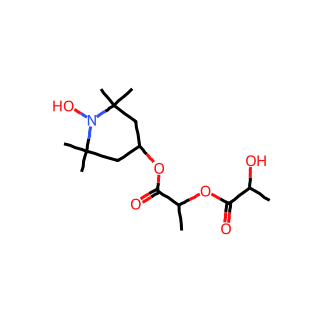 CC(O)C(=O)OC(C)C(=O)OC1CC(C)(C)N(O)C(C)(C)C1